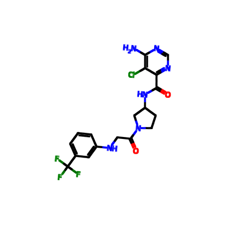 Nc1ncnc(C(=O)NC2CCN(C(=O)CNc3cccc(C(F)(F)F)c3)C2)c1Cl